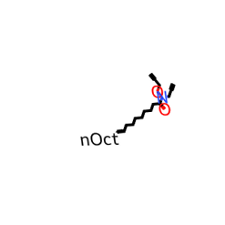 C#CCON(CC#C)C(=O)CCCCCCCC=CCCCCCCCC